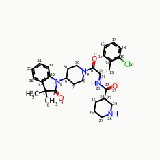 CC1(C)C(=O)N(C2CCN(C(=O)[C@H](Cc3ccccc3Cl)NC(=O)[C@@H]3CCCNC3)CC2)c2ccccc21